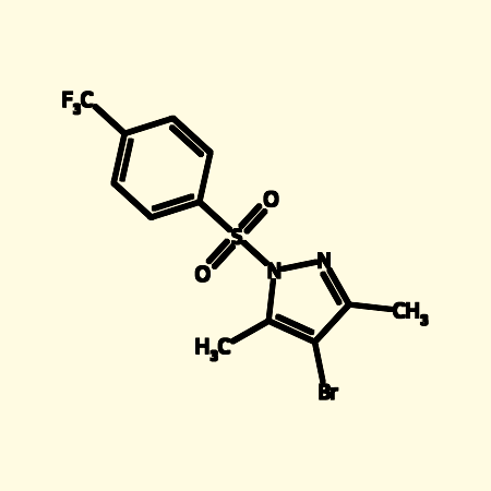 Cc1nn(S(=O)(=O)c2ccc(C(F)(F)F)cc2)c(C)c1Br